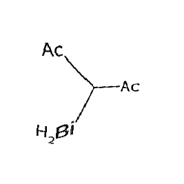 CC(=O)[CH]([BiH2])C(C)=O